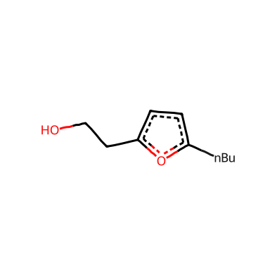 CCCCc1ccc(CCO)o1